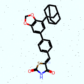 O=C1NC(=O)/C(=C/c2ccc(-c3cc4c(c(C56CC7CC(CC(C7)C5)C6)c3)OCO4)cc2)S1